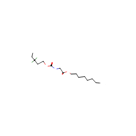 CCCCCCCCOC(=O)CNC(=O)OCCC(F)(F)CC